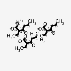 CCCC(=O)C(CC)C(=O)[O-].CCCC(=O)C(CC)C(=O)[O-].CCCC(=O)C(CC)C(=O)[O-].[In+3]